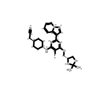 CC1(C)OC[C@@H](COc2nc(-c3cnn4ccccc34)nc(N[C@H]3CC[C@H](CC#N)CC3)c2F)O1